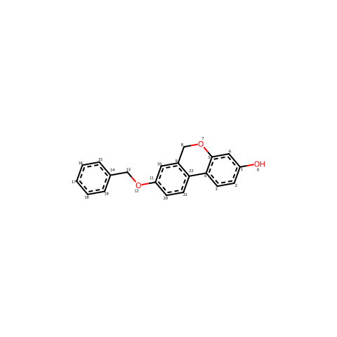 Oc1ccc2c(c1)OCc1cc(OCc3ccccc3)ccc1-2